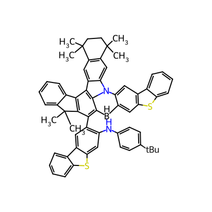 CC(C)(C)c1ccc(Nc2cc3sc4ccccc4c3cc2-c2c3c(c4c5cc6c(cc5n5c4c2Bc2cc4sc7ccccc7c4cc2-5)C(C)(C)CCC6(C)C)-c2ccccc2C3(C)C)cc1